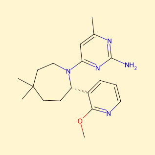 COc1ncccc1[C@@H]1CCC(C)(C)CCN1c1cc(C)nc(N)n1